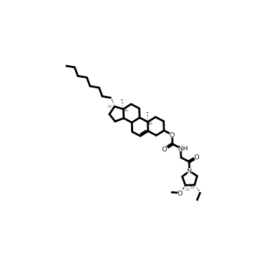 CCCCCCCC[C@H]1CCC2C3CC=C4CC(OC(=O)NCC(=O)N5C[C@H](CC)[C@H](OC)C5)CC[C@]4(C)C3CC[C@@]21C